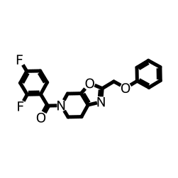 O=C(c1ccc(F)cc1F)N1CCc2nc(COc3ccccc3)oc2C1